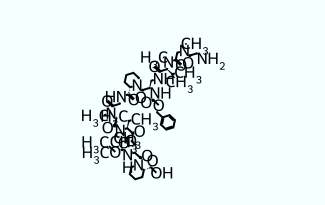 CC(C)[C@@H](C(=O)NC[C@@H](NC(=O)OCc1ccccc1)C(=O)N1CCCC[C@H]1C(=O)NCC(=O)N(C)CC(=O)N(C)[C@H](C(=O)OC[C@@H](NC(=O)OC(C)(C)C)C(=O)N1CCCC[C@H]1C(=O)O)C(C)C)N(C)C(=O)CN(C)C(=O)CN